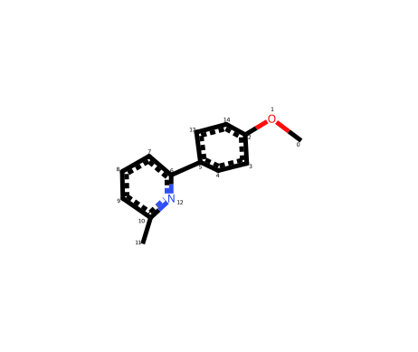 COc1ccc(-c2cccc(C)n2)cc1